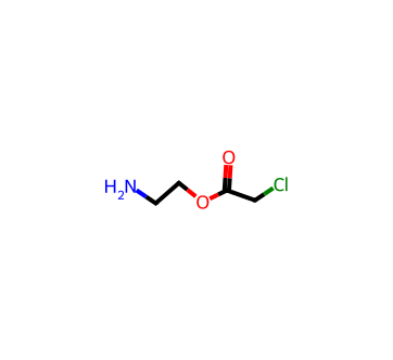 NCCOC(=O)CCl